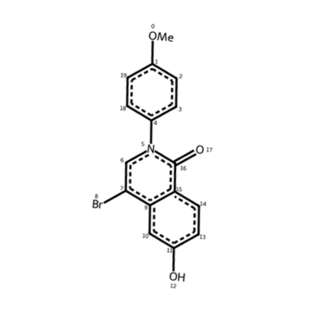 COc1ccc(-n2cc(Br)c3cc(O)ccc3c2=O)cc1